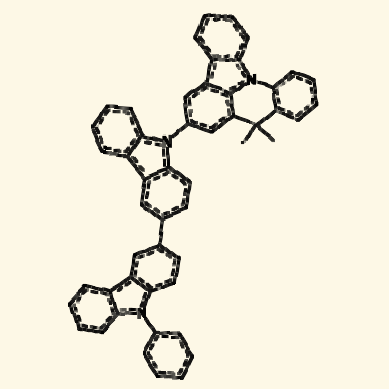 CC1(C)c2ccccc2-n2c3ccccc3c3cc(-n4c5ccccc5c5cc(-c6ccc7c(c6)c6ccccc6n7-c6ccccc6)ccc54)cc1c32